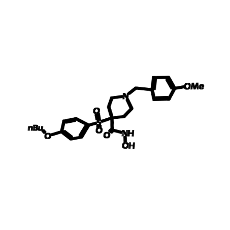 CCCCOc1ccc(S(=O)(=O)C2(C(=O)NO)CCN(Cc3ccc(OC)cc3)CC2)cc1